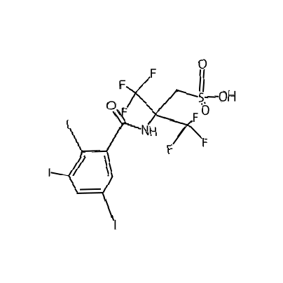 O=C(NC(CS(=O)(=O)O)(C(F)(F)F)C(F)(F)F)c1cc(I)cc(I)c1I